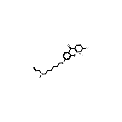 C=CCN(C)CCCCCCOc1ccc(C(=O)C2=C[C@@H](C)C(Br)C=C2)c(F)c1